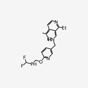 CC/C(C)=c1/ccnc(CC)/c1=C/NCc1ccc(OCPC(F)F)nc1